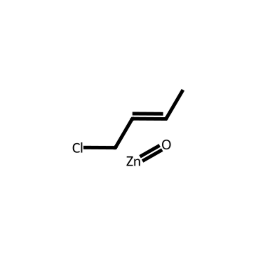 CC=CCCl.[O]=[Zn]